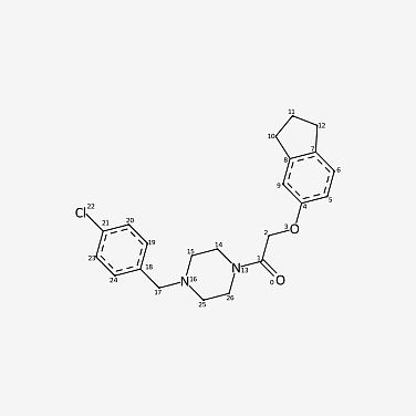 O=C(COc1ccc2c(c1)CCC2)N1CCN(Cc2ccc(Cl)cc2)CC1